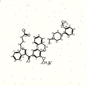 COc1cc(C(=O)c2cn(CCCC(=O)[O-])c3ccccc23)ccc1O[C@@H](CCN1CCN(c2ccccc2OC)CC1)c1ccccc1.[K+]